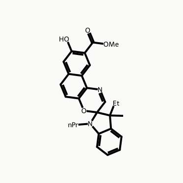 CCCN1c2ccccc2C(C)(CC)C12C=Nc1c(ccc3cc(O)c(C(=O)OC)cc13)O2